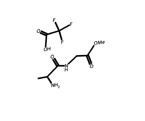 COC(=O)CNC(=O)C(C)N.O=C(O)C(F)(F)F